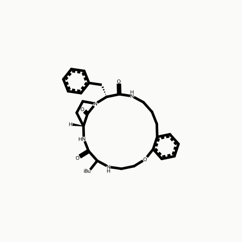 CCC(C)C1NCCOc2ccccc2CCCNC(=O)[C@@H](Cc2ccccc2)N2CC[C@@H](NC1=O)C2=O